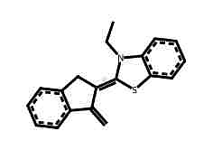 C=C1/C(=C2\Sc3ccccc3N2CC)Cc2ccccc21